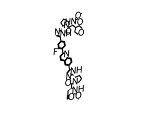 C#CC[C@H](NC(=O)OC)C(=O)N1CCC[C@H]1c1ncc(-c2ccc3nc(-c4ccc(-c5cnc([C@@H]6CCCN6C(=O)[C@@H](NC(=O)OC)C6CCOCC6)[nH]5)cc4F)ccc3c2)[nH]1